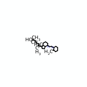 C=C1CCCC/C1=C/C=C1\CCCC2(C)C1CCC2[C@H](C)CCCC(C)(C)O